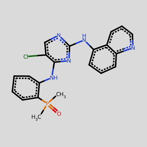 CP(C)(=O)c1ccccc1Nc1nc(Nc2cccc3ncccc23)ncc1Cl